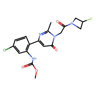 COC(=O)Nc1cc(Cl)ccc1-c1cc(=O)n(CC(=O)N2CC(F)C2)c(C)n1